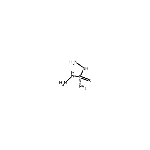 NNP(N)(=S)NN